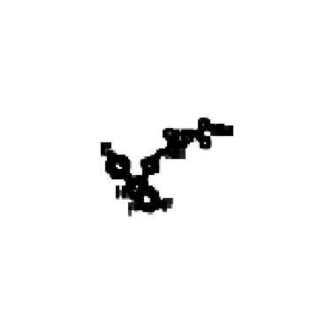 CC(C)(C)OC(=O)NCC(=O)NC[C@H]1C[C@@H](c2c(-c3ccc(F)cc3)[nH]c3c(F)cc(F)cc32)C1